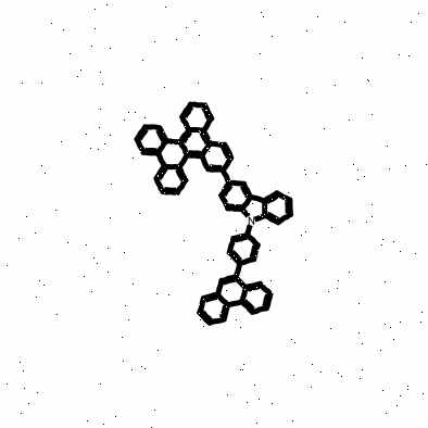 c1ccc2c(c1)cc(-c1ccc(-n3c4ccccc4c4cc(-c5ccc6c7ccccc7c7c8ccccc8c8ccccc8c7c6c5)ccc43)cc1)c1ccccc12